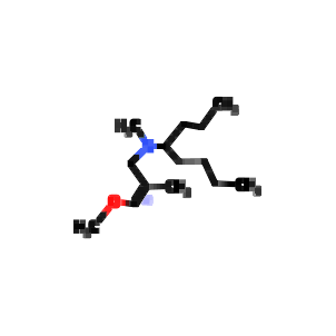 CCCCC(CCC)N(C)C/C(C)=C\OC